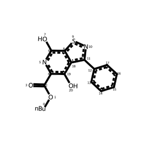 CCCCOC(=O)c1nc(O)c2snc(-c3ccccc3)c2c1O